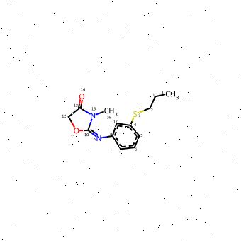 CCCSc1cccc(N=C2OCC(=O)N2C)c1